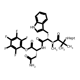 CCCCCCCC(C)(C)C(=O)N(C)[C@@H](Cc1c[nH]c2ccccc12)C(=O)N[C@H](CC(N)=O)C(=O)Oc1c(F)c(F)c(F)c(F)c1F